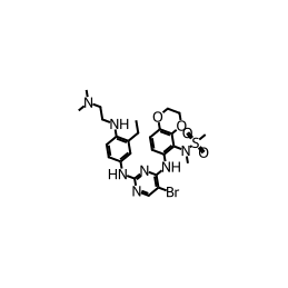 CCc1cc(Nc2ncc(Br)c(Nc3ccc4c(c3N(C)S(C)(=O)=O)OCCO4)n2)ccc1NCCN(C)C